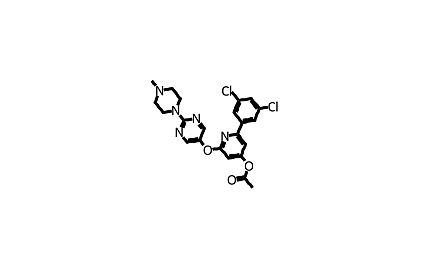 CC(=O)Oc1cc(Oc2cnc(N3CCN(C)CC3)nc2)nc(-c2cc(Cl)cc(Cl)c2)c1